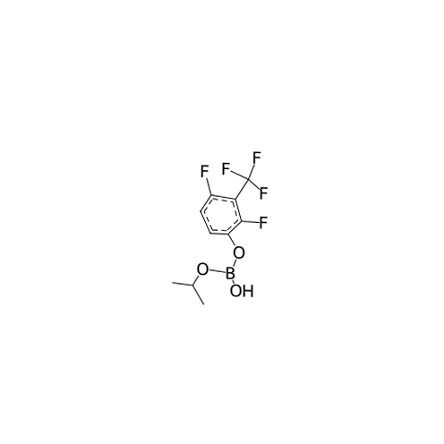 CC(C)OB(O)Oc1ccc(F)c(C(F)(F)F)c1F